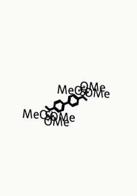 CO[Si](OC)(OC)C(C)c1ccc(-c2ccc(C(C)[Si](OC)(OC)OC)cc2)cc1